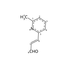 Cc1cccc(C=CC=O)n1